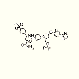 CCS(=O)(=O)c1ccc(C(COC(N)=O)NC(=O)c2ccc(N3C[C@@H](Oc4ccc(-n5nccn5)cn4)C[C@H]3COC(F)F)cc2)cc1